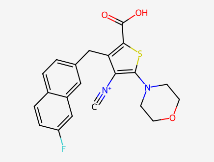 [C-]#[N+]c1c(N2CCOCC2)sc(C(=O)O)c1Cc1ccc2ccc(F)cc2c1